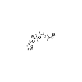 CCOC(C)COCC(C)OC(C)(C)C(=O)OCC(C)OC(C)C